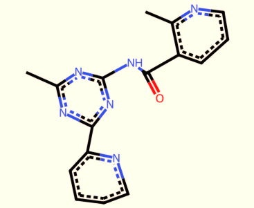 Cc1nc(NC(=O)c2cccnc2C)nc(-c2ccccn2)n1